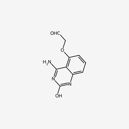 Nc1nc(O)nc2cccc(OCC=O)c12